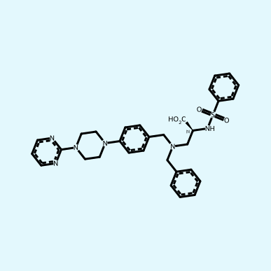 O=C(O)[C@H](CN(Cc1ccccc1)Cc1ccc(N2CCN(c3ncccn3)CC2)cc1)NS(=O)(=O)c1ccccc1